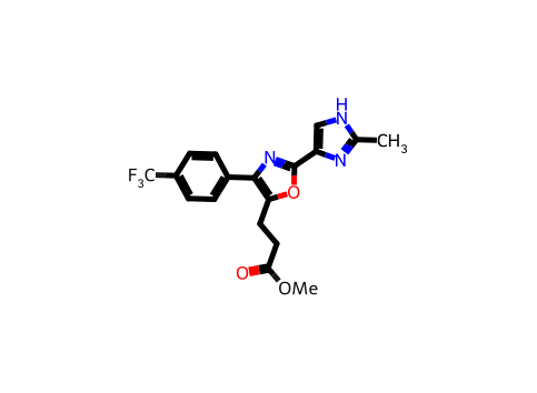 COC(=O)CCc1oc(-c2c[nH]c(C)n2)nc1-c1ccc(C(F)(F)F)cc1